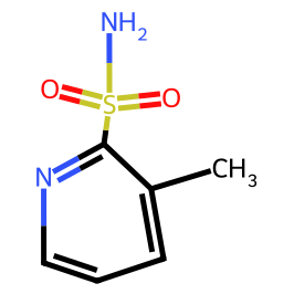 Cc1cccnc1S(N)(=O)=O